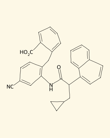 N#Cc1ccc(Cc2ccccc2C(=O)O)c(NC(=O)C(CC2CC2)c2cccc3ccccc23)c1